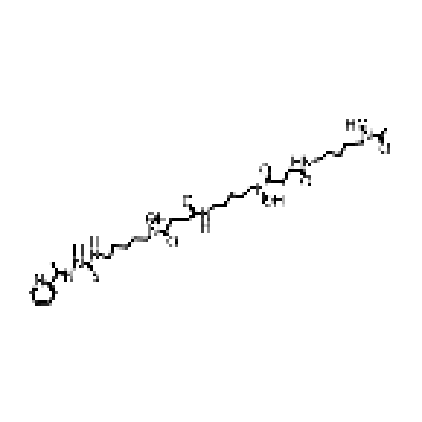 CC(=O)N(O)CCCCCNC(=O)CCC(=O)N(O)CCCCCNC(=O)CCC(=O)N(O)CCCCCNC(=S)N/N=C(\C)c1ccccn1